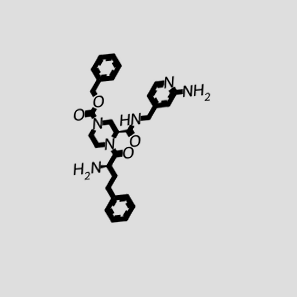 Nc1cc(CNC(=O)[C@@H]2CN(C(=O)OCc3ccccc3)CCN2C(=O)[C@H](N)CCc2ccccc2)ccn1